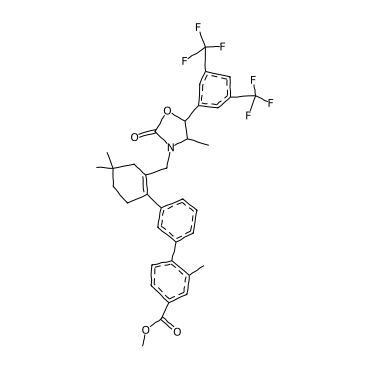 COC(=O)c1ccc(-c2cccc(C3=C(CN4C(=O)OC(c5cc(C(F)(F)F)cc(C(F)(F)F)c5)C4C)CC(C)(C)CC3)c2)c(C)c1